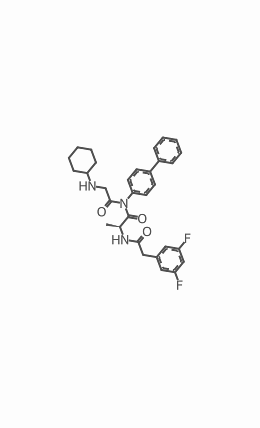 C[C@H](NC(=O)Cc1cc(F)cc(F)c1)C(=O)N(C(=O)CNC1CCCCC1)c1ccc(-c2ccccc2)cc1